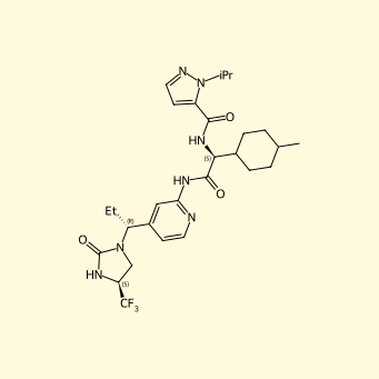 CC[C@H](c1ccnc(NC(=O)[C@@H](NC(=O)c2ccnn2C(C)C)C2CCC(C)CC2)c1)N1C[C@@H](C(F)(F)F)NC1=O